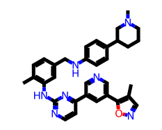 Cc1ccc(CNc2ccc(C3CCCN(C)C3)cc2)cc1Nc1nccc(-c2cncc(-c3oncc3C)c2)n1